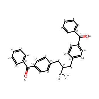 O=C(c1ccccc1)c1ccc(CC(Cc2ccc(C(=O)c3ccccc3)cc2)C(=O)O)cc1